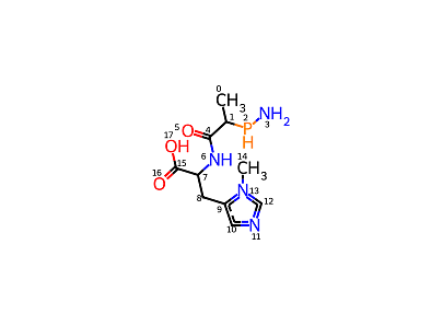 CC(PN)C(=O)NC(Cc1cncn1C)C(=O)O